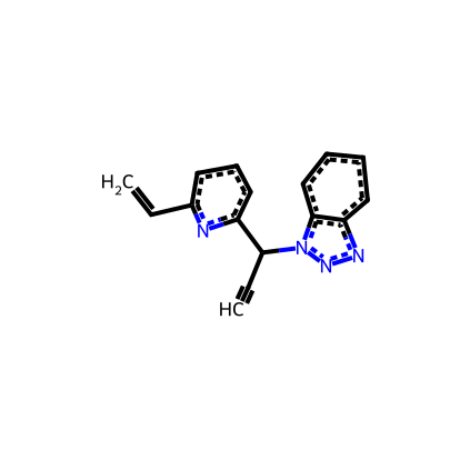 C#CC(c1cccc(C=C)n1)n1nnc2ccccc21